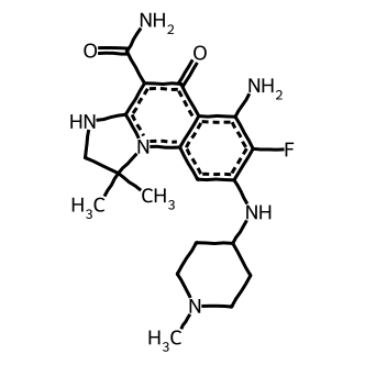 CN1CCC(Nc2cc3c(c(N)c2F)c(=O)c(C(N)=O)c2n3C(C)(C)CN2)CC1